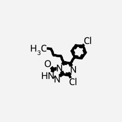 CCCCc1c(-c2ccc(Cl)cc2)nc(Cl)c2n[nH]c(=O)n12